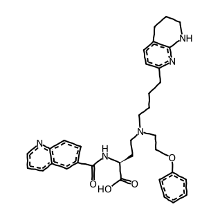 O=C(N[C@@H](CCN(CCCCc1ccc2c(n1)NCCC2)CCOc1ccccc1)C(=O)O)c1ccc2ncccc2c1